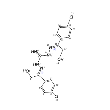 N=C(N/N=C(\CO)c1ccc(Cl)cc1)N/N=C(\CO)c1ccc(Cl)cc1